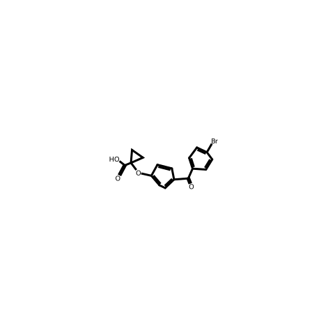 O=C(c1ccc(Br)cc1)c1ccc(OC2(C(=O)O)CC2)cc1